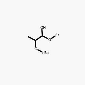 CCCCOC(C)C(O)OCC